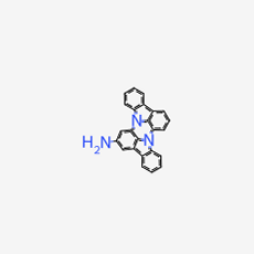 Nc1cc2c3ccccc3n3c4cccc5c6ccccc6n(c(c1)c23)c54